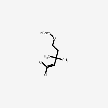 CCCCCOCCC(C)(C)C=C(Cl)Cl